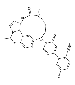 CC(F)n1ncc2c1-c1ccnc(c1)[C@@H](n1ccc(-c3cc(Cl)ccc3C#N)cc1=O)CCC[C@@H](C)C(=O)N2